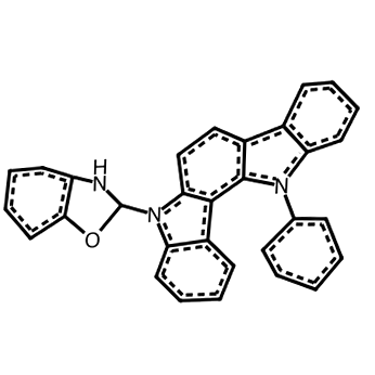 c1ccc(-n2c3ccccc3c3ccc4c(c5ccccc5n4C4Nc5ccccc5O4)c32)cc1